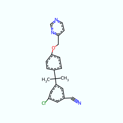 CC(C)(c1ccc(OCc2ccncn2)cc1)c1cc(Cl)cc(C#N)c1